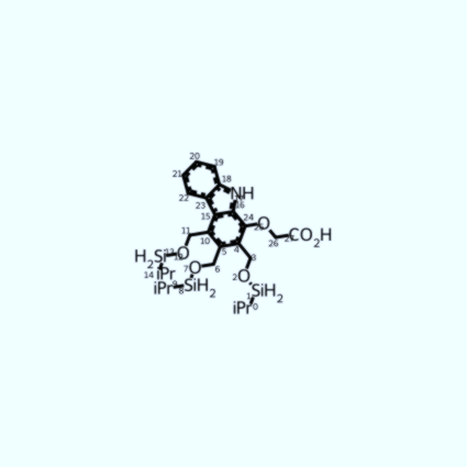 CC(C)[SiH2]OCc1c(CO[SiH2]C(C)C)c(CO[SiH2]C(C)C)c2c([nH]c3ccccc32)c1OCC(=O)O